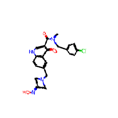 CN(Cc1ccc(Cl)cc1)C(=O)c1c[nH]c2ccc(CN3CC(=NO)C3)cc2c1=O